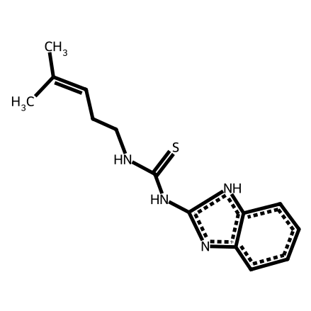 CC(C)=CCCNC(=S)Nc1nc2ccccc2[nH]1